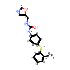 O=C(NCc1cnco1)Nc1ccc(Sc2ccccc2C(F)(F)F)cc1